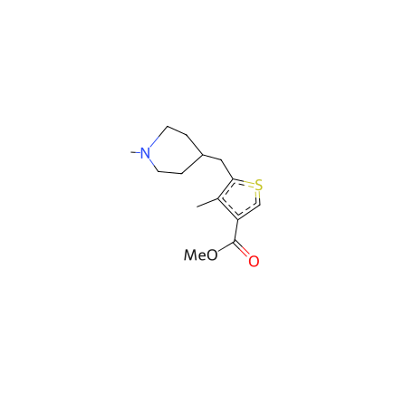 COC(=O)c1csc(CC2CCN(C)CC2)c1C